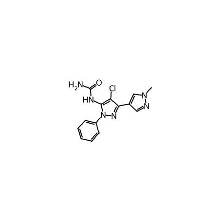 Cn1cc(-c2nn(-c3ccccc3)c(NC(N)=O)c2Cl)cn1